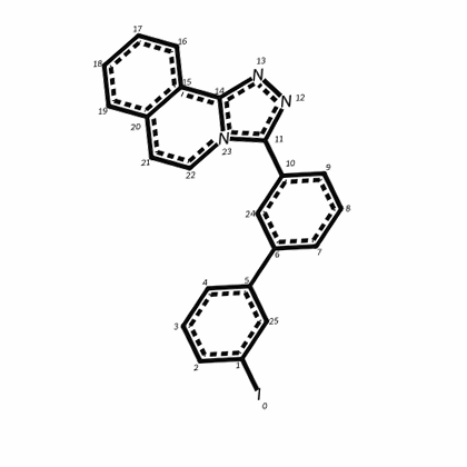 Ic1cccc(-c2cccc(-c3nnc4c5ccccc5ccn34)c2)c1